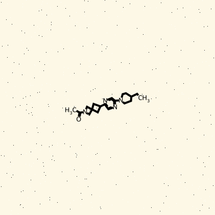 CCC1CCN(c2cnc(C3CC4(C3)CN(C(C)=O)C4)cn2)CC1